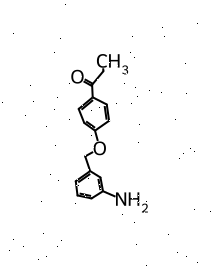 CCC(=O)c1ccc(OCc2cccc(N)c2)cc1